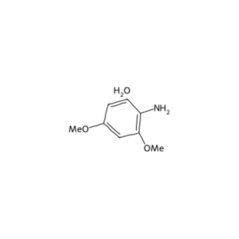 COc1ccc(N)c(OC)c1.O